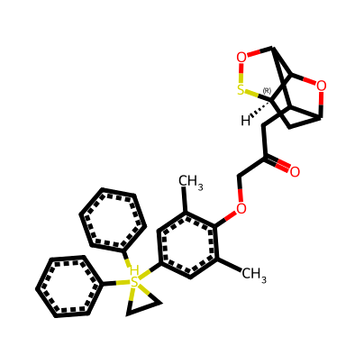 Cc1cc([SH]2(c3ccccc3)(c3ccccc3)CC2)cc(C)c1OCC(=O)CC1C2C[C@H]3SOC1C3O2